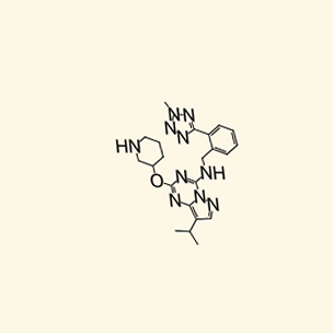 CC(C)c1cnn2c(NCc3ccccc3-c3nnn(C)n3)nc(OC3CCCNC3)nc12